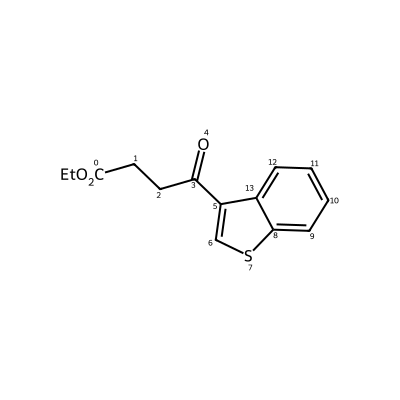 CCOC(=O)CCC(=O)c1csc2ccccc12